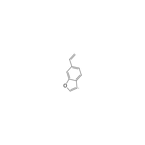 C=Cc1ccc2[c]coc2c1